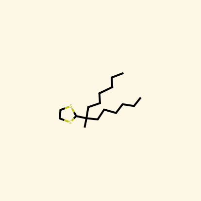 CCCCCCC(C)(CCCCCC)C1SCCS1